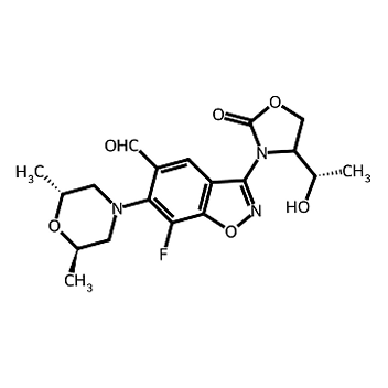 C[C@@H]1CN(c2c(C=O)cc3c(N4C(=O)OCC4[C@H](C)O)noc3c2F)C[C@@H](C)O1